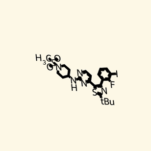 CC(C)(C)c1nc(-c2cccc(I)c2F)c(-c2ccnc(NC3CCN(S(C)(=O)=O)CC3)n2)s1